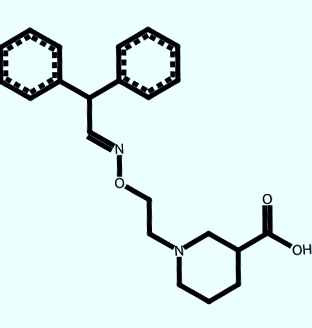 O=C(O)C1CCCN(CCON=CC(c2ccccc2)c2ccccc2)C1